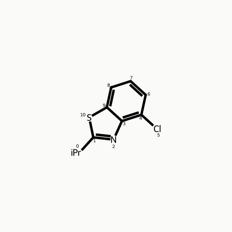 CC(C)c1nc2c(Cl)cccc2s1